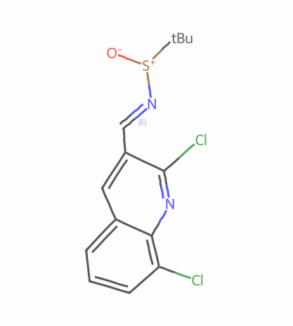 CC(C)(C)[S+]([O-])/N=C/c1cc2cccc(Cl)c2nc1Cl